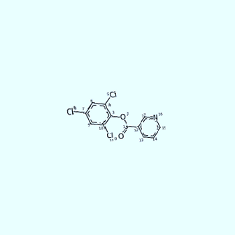 O=C(Oc1c(Cl)cc(Cl)cc1Cl)c1cccnc1